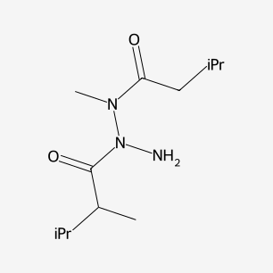 CC(C)CC(=O)N(C)N(N)C(=O)C(C)C(C)C